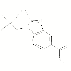 NC(=O)c1ccc2c(c1)nc(N)n2CC(F)(F)F